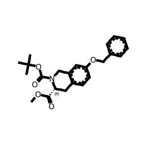 COC(=O)[C@H]1Cc2ccc(OCc3ccccc3)cc2CN1C(=O)OC(C)(C)C